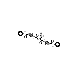 NC(CC(=O)OCCNC(=O)Oc1ccccc1)C(=O)OCCNC(=O)Oc1ccccc1